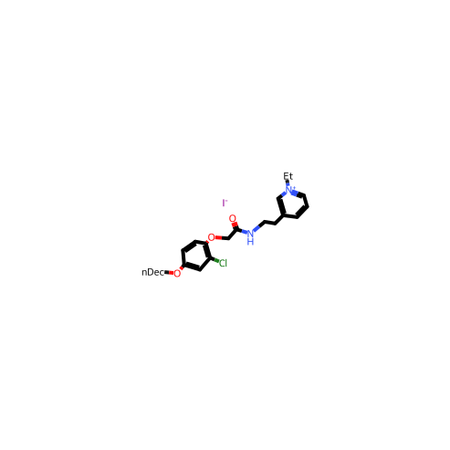 CCCCCCCCCCOc1ccc(OCC(=O)NCCc2ccc[n+](CC)c2)c(Cl)c1.[I-]